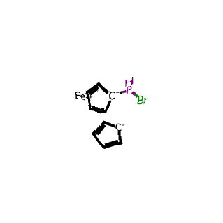 BrP[c-]1cccc1.[Fe+2].c1cc[cH-]c1